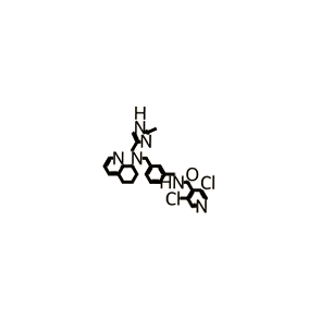 Cc1nc(CN(Cc2cccc(CNC(=O)c3c(Cl)cncc3Cl)c2)C2CCCc3cccnc32)c[nH]1